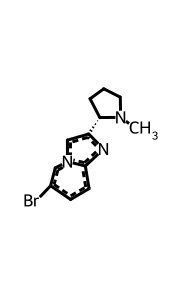 CN1CCC[C@H]1c1cn2cc(Br)ccc2n1